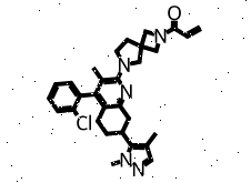 C=CC(=O)N1CC2(CCN(c3nc4c(c(-c5ccccc5Cl)c3C)CCC(c3c(C)cnn3C)C4)C2)C1